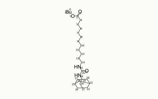 CCC(C)OC(=O)CCCCCCCCCCCNC(=O)NC12CC3CC(CC(C3)C1)C2